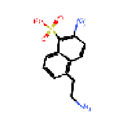 NCCc1cccc2c(S(=O)(=O)O)c(N)ccc12